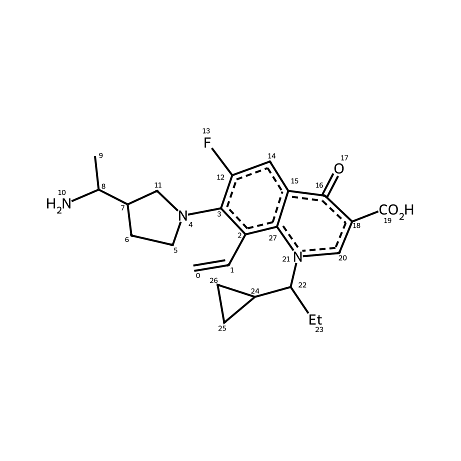 C=Cc1c(N2CCC(C(C)N)C2)c(F)cc2c(=O)c(C(=O)O)cn(C(CC)C3CC3)c12